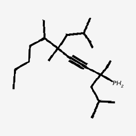 CCCCC(C)C(C)(C#CC(C)(P)CC(C)C)CC(C)C